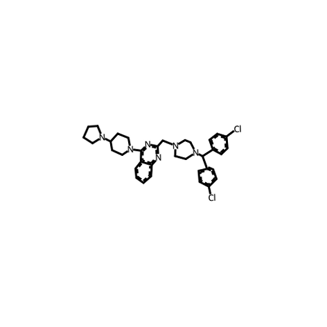 Clc1ccc(C(c2ccc(Cl)cc2)N2CCN(Cc3nc(N4CCC(N5CCCC5)CC4)c4ccccc4n3)CC2)cc1